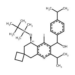 CC(C)c1ccc(C(O)c2c(C(C)C)nc3c(c2I)[C@H](O[Si](C)(C)C(C)(C)C)CC2(CCC2)C3)cc1